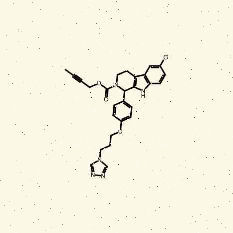 CC#CCOC(=O)N1CCc2c([nH]c3ccc(Cl)cc23)C1c1ccc(OCCCn2cnnc2)cc1